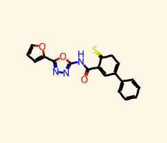 O=C(Nc1nnc(-c2ccco2)o1)C1=CC(c2ccccc2)=CCC1=S